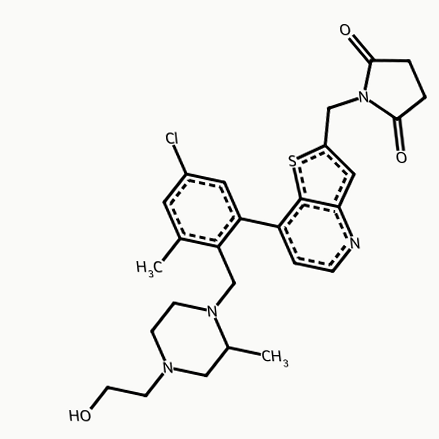 Cc1cc(Cl)cc(-c2ccnc3cc(CN4C(=O)CCC4=O)sc23)c1CN1CCN(CCO)CC1C